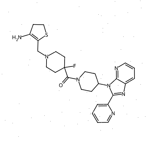 NC1=C(CN2CCC(F)(C(=O)N3CCC(n4c(-c5ccccn5)nc5cccnc54)CC3)CC2)SCC1